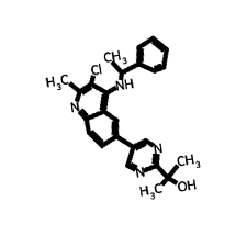 Cc1nc2ccc(-c3cnc(C(C)(C)O)nc3)cc2c(NC(C)c2ccccc2)c1Cl